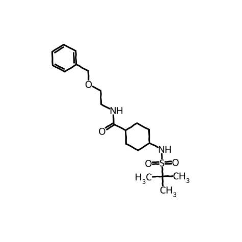 CC(C)(C)S(=O)(=O)NC1CCC(C(=O)NCCOCc2ccccc2)CC1